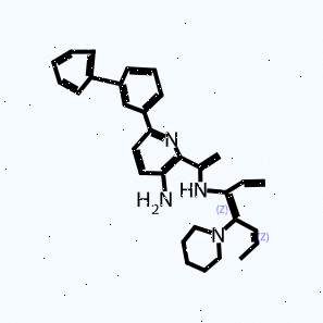 C=C/C(NC(=C)c1nc(-c2cccc(-c3ccccc3)c2)ccc1N)=C(\C=C/C)N1CCCCC1